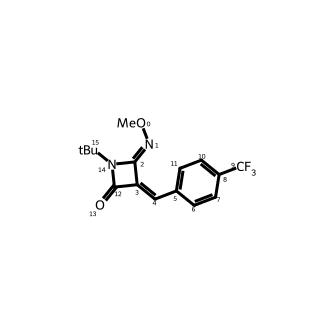 CON=C1C(=Cc2ccc(C(F)(F)F)cc2)C(=O)N1C(C)(C)C